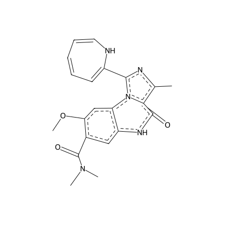 COc1cc2c(cc1C(=O)N(C)C)[nH]c(=O)c1c(C)nc(C3=CC=CC=CN3)n12